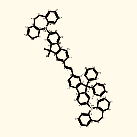 CC1(C)c2cc(/C=C/c3ccc4c(c3)C(c3ccccc3)(c3ccccc3)c3cc(N5C6=C(CCC=C6)CCc6ccccc65)ccc3-4)ccc2-c2ccc(N3C4=C(C=CCC4)CCc4ccccc43)cc21